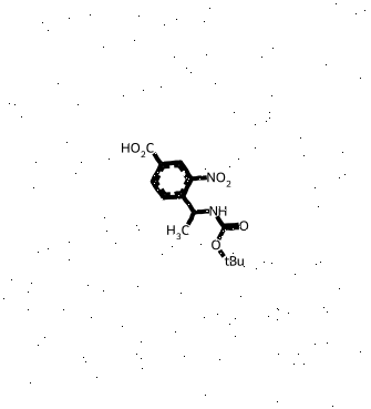 CC(NC(=O)OC(C)(C)C)c1ccc(C(=O)O)cc1[N+](=O)[O-]